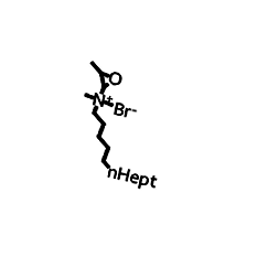 CCCCCCCCCCCC[N+](C)(C)C1OC1C.[Br-]